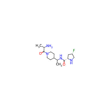 CC(N)C(=O)N1CCC(C(C)NC(=O)[C@@H]2C[C@H](F)CN2)CC1